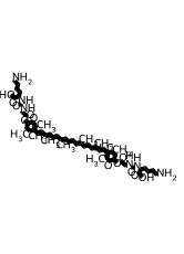 CC1=C(/C=C/C(C)=C/C=C/C(C)=C/C=C/C=C(C)/C=C/C=C(C)/C=C/C2=C(C)C(=O)C(OC(=O)CNC(=O)NC(CCCCN)C(=O)O)CC2(C)C)C(C)(C)CC(OC(=O)CNC(=O)NC(CCCCN)C(=O)O)C1=O